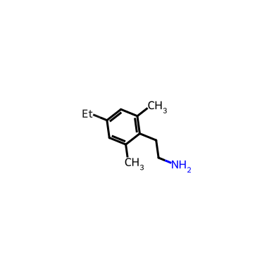 CCc1cc(C)c(CCN)c(C)c1